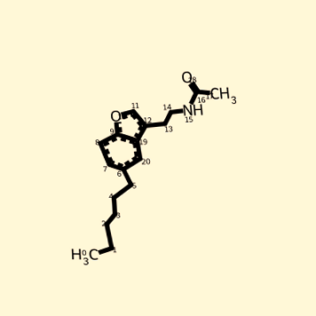 CCCCCCc1ccc2occ(CCNC(C)=O)c2c1